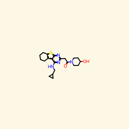 O=C(Cc1nc(NCC2CC2)c2c3c(sc2n1)CCCC3)N1CCC(O)CC1